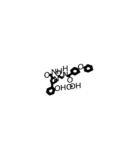 NC(=O)C1CC(c2ccccc2)CN1C(=O)CNC(=O)c1ccc(Oc2ccccc2)cc1.O=CO